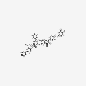 O=C(N[C@@H](Cc1ccc(-c2ccncc2)cc1)C(=O)O)C1Cc2cc3c(cc2CN1C(=O)c1ccccc1)O[C@@H](c1ccc(OCc2ccc(Cl)c(Cl)c2)cc1)C(=O)N3